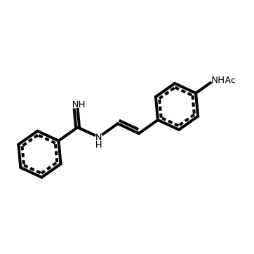 CC(=O)Nc1ccc(C=CNC(=N)c2ccccc2)cc1